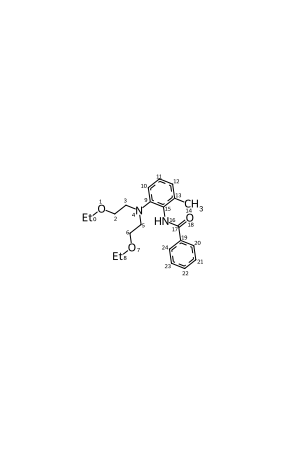 CCOCCN(CCOCC)c1cccc(C)c1NC(=O)c1ccccc1